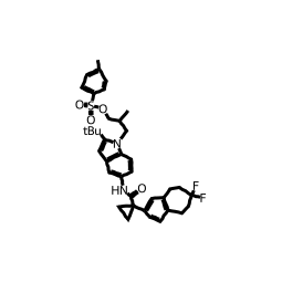 Cc1ccc(S(=O)(=O)OCC(C)Cn2c(C(C)(C)C)cc3cc(NC(=O)C4(c5ccc6c(c5)CCC(F)(F)CC6)CC4)ccc32)cc1